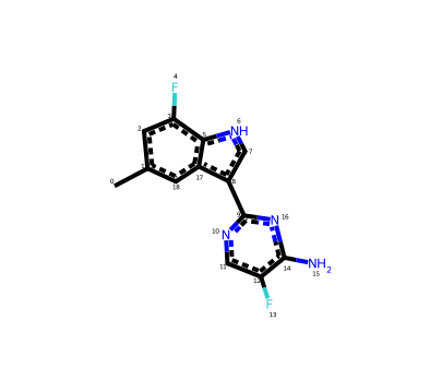 Cc1cc(F)c2[nH]cc(-c3ncc(F)c(N)n3)c2c1